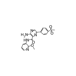 COc1ncccc1NC(=O)c1nc(-c2ccc(S(C)(=O)=O)cc2)cnc1N